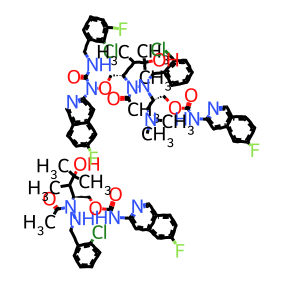 CC(=O)N(NCc1ccccc1Cl)[C@H](COC(=O)Nc1cc2cc(F)ccc2cn1)C(C)C(C)(C)O.CC(=O)N([C@H](CON(C(=O)NCc1cccc(F)c1Cl)c1cc2cc(F)ccc2cn1)C(C)C(C)(C)O)N(Cc1ccccc1Cl)[C@H](COC(=O)Nc1cc2cc(F)ccc2cn1)CN(C)C